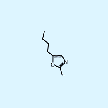 [CH2]c1ncc(CCCC)o1